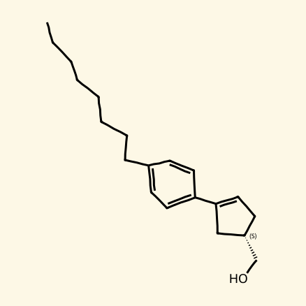 CCCCCCCCc1ccc(C2=CC[C@H](CO)C2)cc1